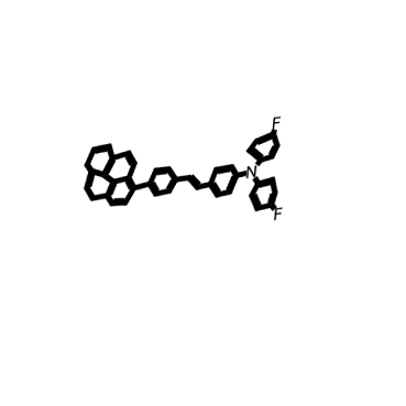 Fc1ccc(N(c2ccc(F)cc2)c2ccc(C=Cc3ccc(-c4ccc5c6c7c(ccc46)C=CCC7=CC5)cc3)cc2)cc1